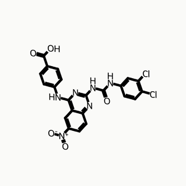 O=C(Nc1ccc(Cl)c(Cl)c1)Nc1nc(Nc2ccc(C(=O)O)cc2)c2cc([N+](=O)[O-])ccc2n1